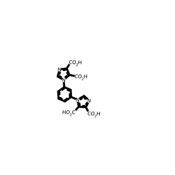 O=C(O)c1ncn(-c2cccc(-n3cnc(C(=O)O)c3C(=O)O)c2)c1C(=O)O